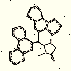 CN1C(=O)CNC1C(c1cc2ccccc2c2ccccc12)c1cc2ccccc2c2ccccc12